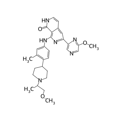 COCC(C)N1CCC(c2ccc(Nc3nc(-c4cncc(OC)n4)cc4cc[nH]c(=O)c34)cc2C)CC1